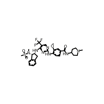 COc1cc(C(=O)NC2CCN(C)CC2)ccc1Nc1ncc(C(F)(F)F)c(N[C@@H]2Cc3ccccc3[C@@H]2N(C)S(C)(=O)=O)n1